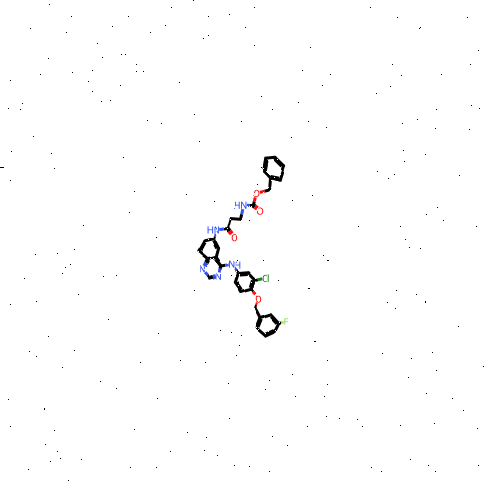 O=C(CCNC(=O)OCc1ccccc1)Nc1ccc2ncnc(Nc3ccc(OCc4cccc(F)c4)c(Cl)c3)c2c1